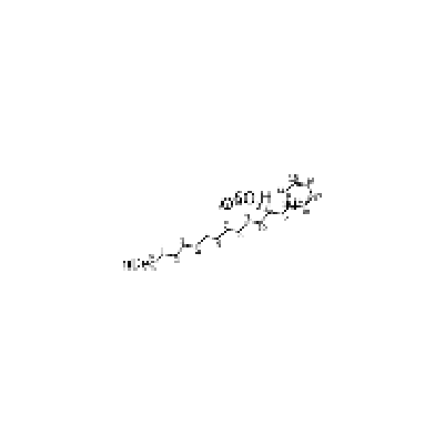 CCCCCCCCCCCCCCCCCCCCCC[n+]1ccccc1.O=S(=O)([O-])O